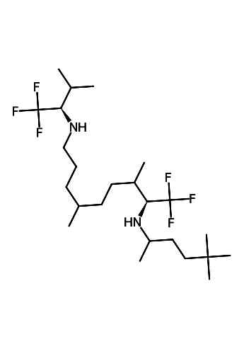 CC(CCCN[C@H](C(C)C)C(F)(F)F)CCC(C)[C@H](NC(C)CCC(C)(C)C)C(F)(F)F